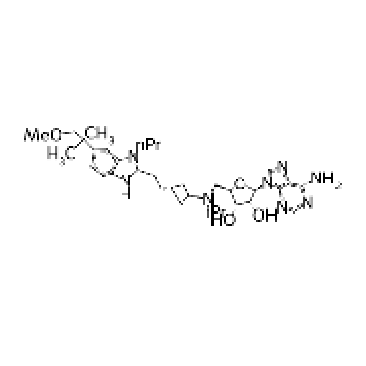 CCCN1c2cc(C(C)(C)COC)ccc2NC1CC[C@H]1C[C@H](N(C[C@H]2O[C@@H](n3cnc4c(N)ncnc43)[C@H](O)[C@@H]2O)C(C)C)C1